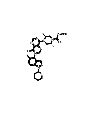 Cc1ccc2c(cnn2C2CCCCO2)c1-n1cnc2c(N3C[C@@H](C)N(C(=O)OC(C)(C)C)C[C@@H]3C)ncnc2c1=O